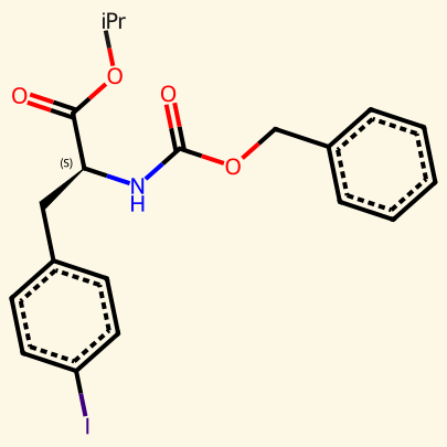 CC(C)OC(=O)[C@H](Cc1ccc(I)cc1)NC(=O)OCc1ccccc1